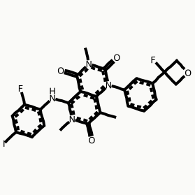 Cc1c(=O)n(C)c(Nc2ccc(I)cc2F)c2c(=O)n(C)c(=O)n(-c3cccc(C4(F)COC4)c3)c12